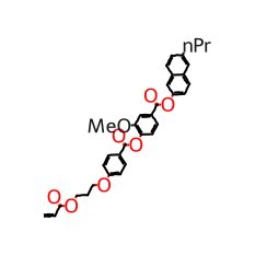 C=CC(=O)OCCCOc1ccc(C(=O)Oc2ccc(C(=O)Oc3ccc4cc(CCC)ccc4c3)cc2OC)cc1